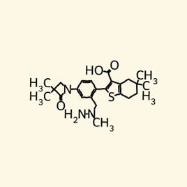 CN(N)Cc1cc(N2CC(C)(C)C2=O)ccc1-c1sc2c(c1C(=O)O)CC(C)(C)CC2